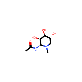 CC(=O)N[C@H]1[C@@H](O)[C@@H](O)[C@H](O)CN1C